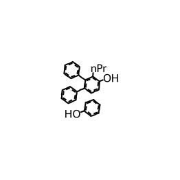 CCCc1c(O)ccc(-c2ccccc2)c1-c1ccccc1.Oc1ccccc1